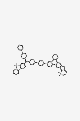 CC1(C)C=CC=C2C=c3cc4c5ccccc5c5cc(-c6ccc(-c7ccc(N(c8ccc(-c9ccccc9)cc8)c8ccc9c(c8)C(C)(C)c8ccccc8-9)cc7)cc6)ccc5c4cc3=C21